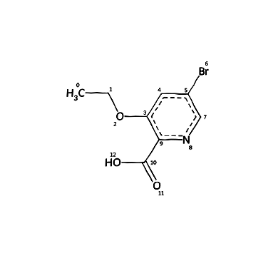 CCOc1cc(Br)cnc1C(=O)O